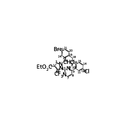 CCOC(=O)c1cnn(-c2nccc(-c3cc(Cl)ccc3OCc3ccc(Br)cc3C)n2)c1C(F)(F)F